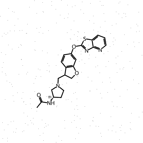 CC(=O)N[C@@H]1CCN(CC2COc3cc(Oc4nc5ncccc5s4)ccc32)C1